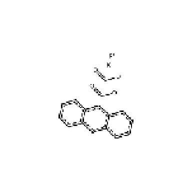 O=C[O-].O=C[O-].[K+].[K+].c1ccc2cc3ccccc3cc2c1